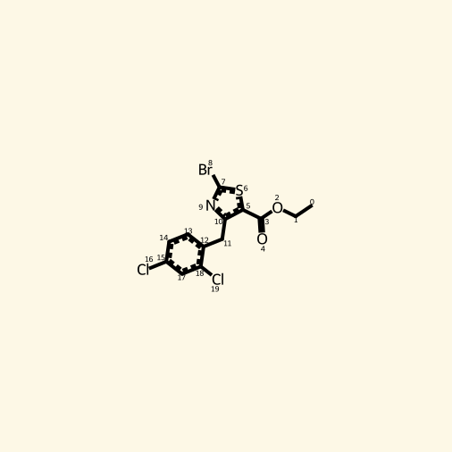 CCOC(=O)c1sc(Br)nc1Cc1ccc(Cl)cc1Cl